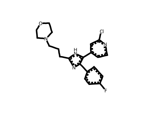 Fc1ccc(-c2nc(CCCN3CCOCC3)[nH]c2-c2ccnc(Cl)c2)cc1